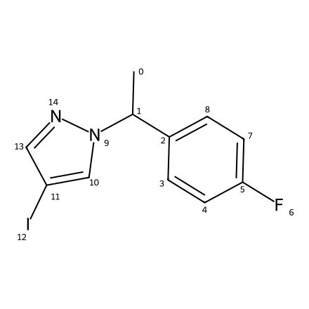 CC(c1ccc(F)cc1)n1cc(I)cn1